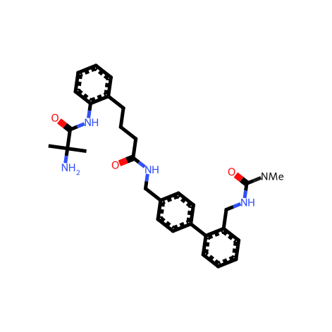 CNC(=O)NCc1ccccc1-c1ccc(CNC(=O)CCCc2ccccc2NC(=O)C(C)(C)N)cc1